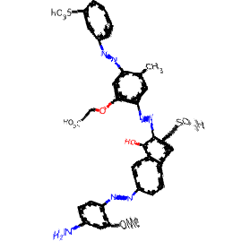 COc1cc(N)ccc1N=Nc1ccc2cc(S(=O)(=O)O)c(N=Nc3cc(C)c(N=Nc4cccc(S(=O)(=O)O)c4)cc3OCC(=O)O)c(O)c2c1